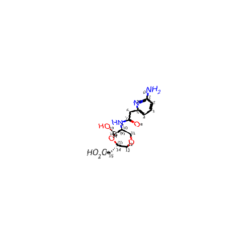 Nc1cccc(CC(=O)N[C@H]2COC[C@H](CC(=O)O)OB2O)n1